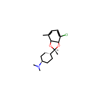 CC1=CC=C(Cl)C2O[C@](C)([C@H]3CC[C@H](N(C)C)CC3)OC12